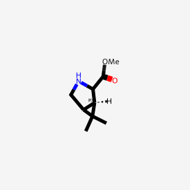 COC(=O)C1NCC2[C@@H]1C2(C)C